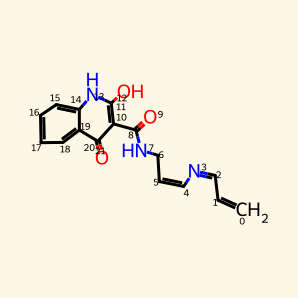 C=C/C=N\C=C/CNC(=O)c1c(O)[nH]c2ccccc2c1=O